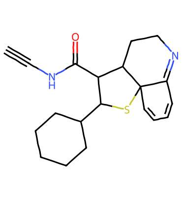 C#CNC(=O)C1C(C2CCCCC2)SC23C=CC=CC2=NCCC13